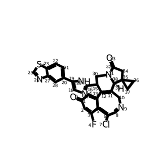 O=C1C=C(F)C2=C(Cl)C=NCC3=C(C2=C1)C(c1ncc(-c2ccc4scnc4c2)[nH]1)CN1C(=O)CC2(CC2)[C@@H]31